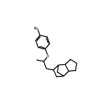 CCC(C)c1ccc(OC(C)CC2CC3CC2C2CCCC32)cc1